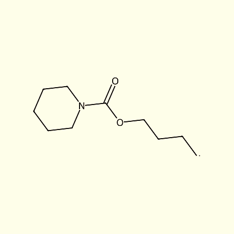 [CH2]CCCOC(=O)N1CCCCC1